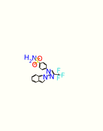 NS(=O)(=O)c1ccc(-n2cc(C(F)(F)F)nc2N2C=c3ccccc3=CC2)cc1